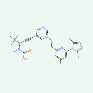 Cc1cc(CCc2cncc(C#CC(N(C)C(=O)O)C(C)(C)C)c2)nc(-n2c(C)ccc2C)c1